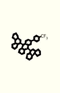 FC(F)(F)c1ccc(-c2ccc3c(-c4cc5ccccc5c5ccccc45)c4ccccc4c(-c4cc5ccccc5c5ccccc45)c3c2)cc1